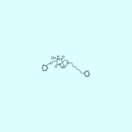 CCCN1C(=O)[C@H]([C@@H](C)OCc2ccccc2)NC(=O)C12CCN(CCCCCCc1ccccc1)CC2